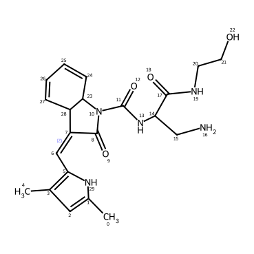 Cc1cc(C)c(/C=C2\C(=O)N(C(=O)NC(CN)C(=O)NCCO)C3C=CC=CC23)[nH]1